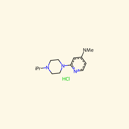 CNc1ccnc(N2CCN(C(C)C)CC2)c1.Cl